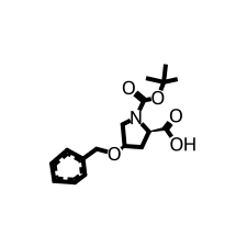 CC(C)(C)OC(=O)N1C[C@H](OCc2ccccc2)C[C@@H]1C(=O)O